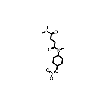 CN(C)C(=O)CCC(=O)N(C)C1CCC(O[N+](=O)[O-])CC1